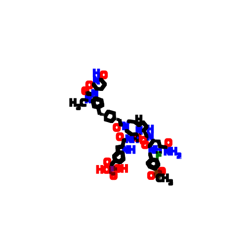 Cn1c(=O)n(C2CCC(=O)NC2=O)c2ccc(C[C@H]3CC[C@@H](CC(=O)N4CC[C@H]5CC[C@@H](C(=O)N[C@@H](CCC(N)=O)C(=O)NCc6ccc(S(C)(=O)=O)cc6F)N5C(=O)[C@@H](NC(=O)c5cc6cc(C(=O)P(=O)(O)O)ccc6[nH]5)C4)CC3)cc21